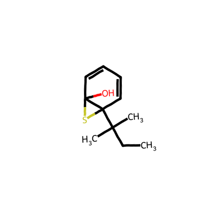 CCC(C)(C)C12C=CC=CC1(O)S2